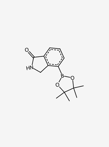 CC1(C)OB(c2cccc3c2CNC3=O)OC1(C)C